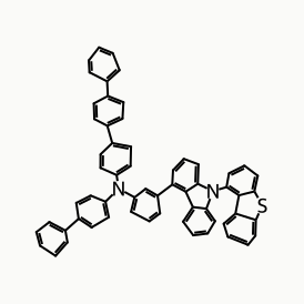 c1ccc(-c2ccc(-c3ccc(N(c4ccc(-c5ccccc5)cc4)c4cccc(-c5cccc6c5c5ccccc5n6-c5cccc6sc7ccccc7c56)c4)cc3)cc2)cc1